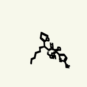 CCCCCC[C@@H](c1ccco1)[C@@H](CO)NS(=O)(=O)c1ccc(Br)s1